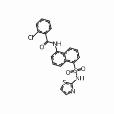 O=C(Nc1cccc2c(S(=O)(=O)Nc3nccs3)cccc12)c1ccccc1Cl